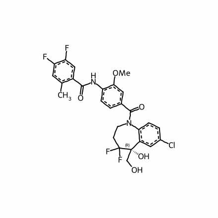 COc1cc(C(=O)N2CCC(F)(F)[C@](O)(CO)c3cc(Cl)ccc32)ccc1NC(=O)c1cc(F)c(F)cc1C